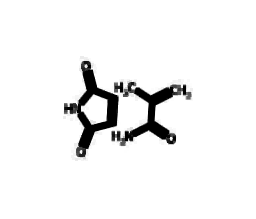 C=C(C)C(N)=O.O=C1C=CC(=O)N1